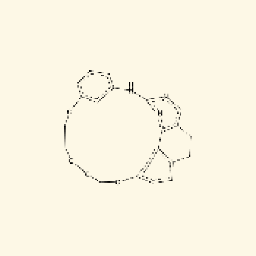 c1cc2cc(c1)OCCOCCOc1ccc3c(c1)-c1nc(ncc1CC3)N2